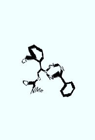 CNC(=O)OCC(c1ccccc1Cl)n1nnc(-c2ccccc2)n1